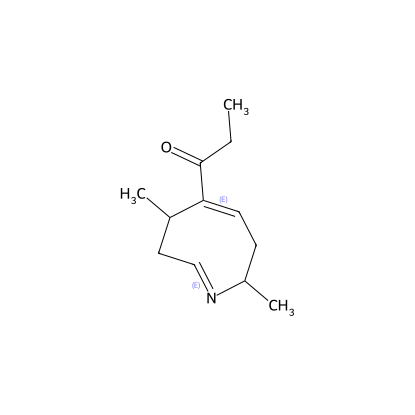 CCC(=O)/C1=C/CC(C)/N=C/CC1C